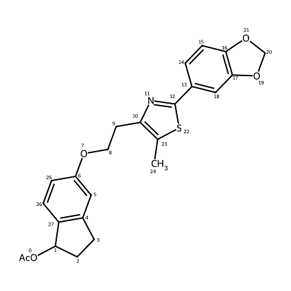 CC(=O)OC1CCc2cc(OCCc3nc(-c4ccc5c(c4)OCO5)sc3C)ccc21